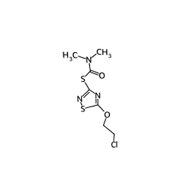 CN(C)C(=O)Sc1nsc(OCCCl)n1